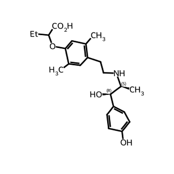 CCC(Oc1cc(C)c(CCN[C@@H](C)[C@H](O)c2ccc(O)cc2)cc1C)C(=O)O